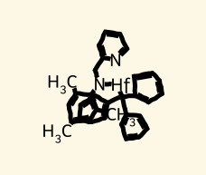 Cc1cc(C)c([N](Cc2ccccn2)[Hf][C](c2ccccc2)(c2ccccc2)c2ccccc2)c(C)c1